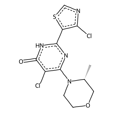 C[C@@H]1COCCN1c1nc(-c2scnc2Cl)[nH]c(=O)c1Cl